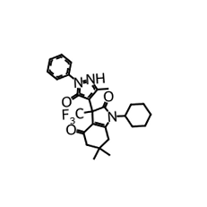 Cc1[nH]n(-c2ccccc2)c(=O)c1C1(C(F)(F)F)C(=O)N(C2CCCCC2)C2=C1C(=O)CC(C)(C)C2